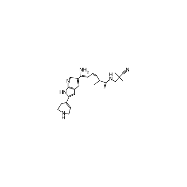 C=C(NCC(C)(C)C#N)C(C)/C=C\C=C(/N)c1cnc2[nH]c(C3=CCNCC3)cc2c1